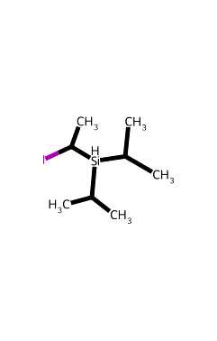 CC(C)[SiH](C(C)C)C(C)I